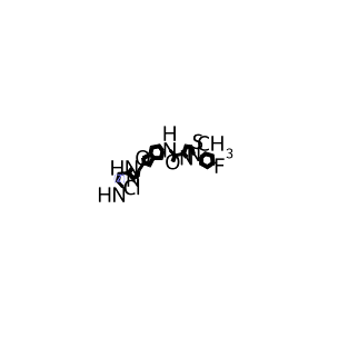 CSc1cc(C(=O)Nc2ccc3oc(-c4cnc(/C=C\C(=N)Cl)[nH]4)cc3c2)nn1-c1ccc(F)cc1